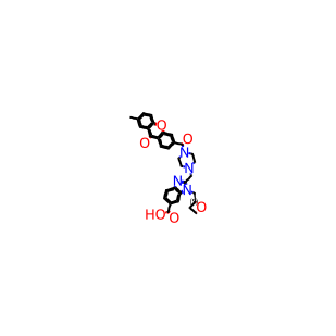 Cc1ccc2oc3cc(C(=O)N4CCN(Cc5nc6ccc(C(=O)O)cc6n5C[C@@H]5CCO5)CC4)ccc3c(=O)c2c1